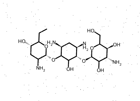 CCC1O[C@H](OC2C(O)[C@@H](O[C@H]3OC(CO)[C@@H](O)[C@H](N)C3O)[C@H](N)C[C@@H]2N)C(N)C[C@@H]1O